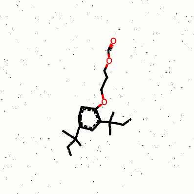 CCC(C)(C)c1ccc(OCCCO[C]=O)c(C(C)(C)CC)c1